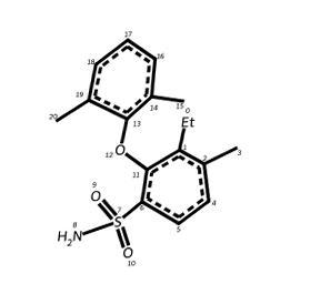 CCc1c(C)ccc(S(N)(=O)=O)c1Oc1c(C)cccc1C